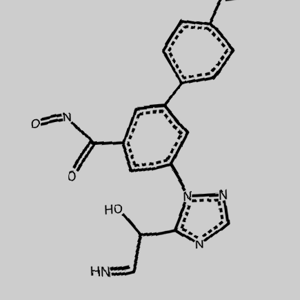 N=Cc1ccc(-c2cc(C(=O)N=O)cc(-n3ncnc3C(O)C=N)c2)cc1